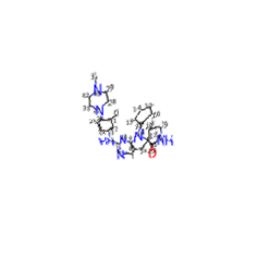 Cc1cc(Nc2ncc3c(n2)N(C2CCCC2)C2(CCNC2=O)C3)ccc1N1CCN(C)CC1